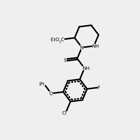 CCOC(=O)C1CCCNN1C(=S)Nc1cc(OC(C)C)c(Cl)cc1F